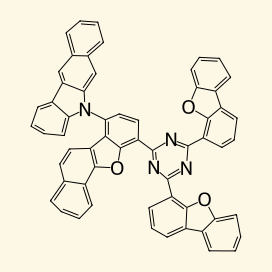 c1ccc2cc3c(cc2c1)c1ccccc1n3-c1ccc(-c2nc(-c3cccc4c3oc3ccccc34)nc(-c3cccc4c3oc3ccccc34)n2)c2oc3c4ccccc4ccc3c12